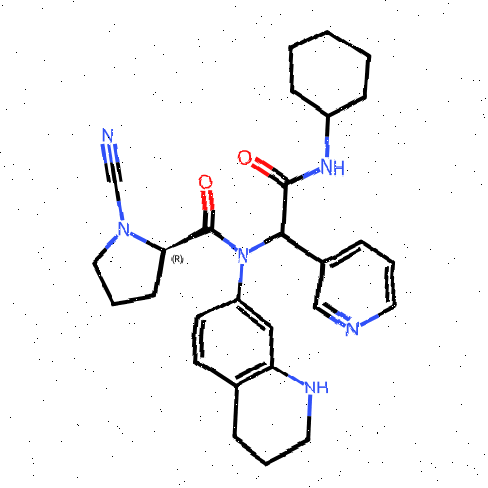 N#CN1CCC[C@@H]1C(=O)N(c1ccc2c(c1)NCCC2)C(C(=O)NC1CCCCC1)c1cccnc1